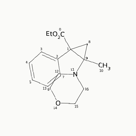 CCOC(=O)C1(c2ccccc2)CC1(C)N1CCOCC1